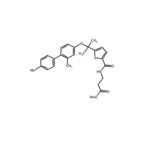 COC(=O)CCNC(=O)c1ccc(C(C)(C)Oc2ccc(-c3ccc(C(C)(C)C)cc3)c(C)c2)s1